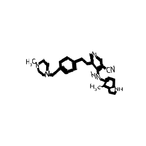 Cc1c(Nc2c(C#N)cncc2/C=C/c2ccc(CN3CCN(C)CC3)cc2)ccc2[nH]ccc12